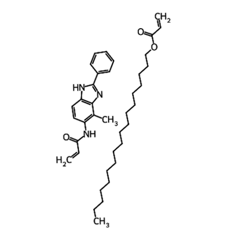 C=CC(=O)Nc1ccc2[nH]c(-c3ccccc3)nc2c1C.C=CC(=O)OCCCCCCCCCCCCCCCCCC